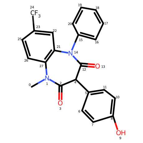 CN1C(=O)C(c2ccc(O)cc2)C(=O)N(c2ccccc2)c2cc(C(F)(F)F)ccc21